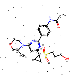 CNC(=O)Nc1ccc(-c2nc(N3CCOC[C@@H]3C)cc(C3(S(=O)(=O)CCCO)CC3)n2)cc1